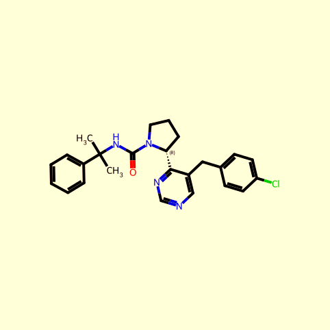 CC(C)(NC(=O)N1CCC[C@@H]1c1ncncc1Cc1ccc(Cl)cc1)c1ccccc1